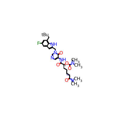 CN(C)C(=O)/C=C/CC[C@H](OC(=O)N(C)C)C(=O)Nc1cncn(Cc2cc3cc(F)cc(CC(C)(C)C)c3[nH]2)c1=O